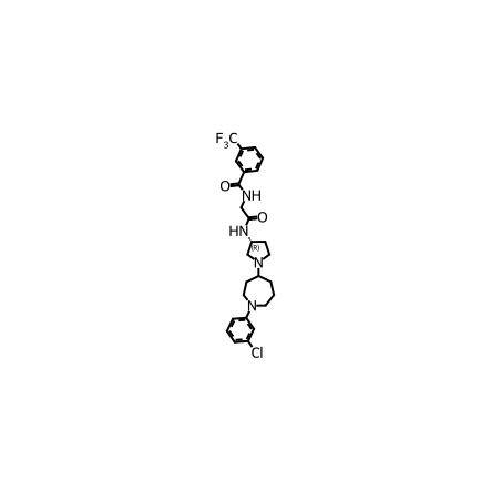 O=C(CNC(=O)c1cccc(C(F)(F)F)c1)N[C@@H]1CCN(C2CCCN(c3cccc(Cl)c3)CC2)C1